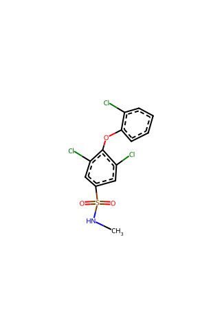 CNS(=O)(=O)c1cc(Cl)c(Oc2ccccc2Cl)c(Cl)c1